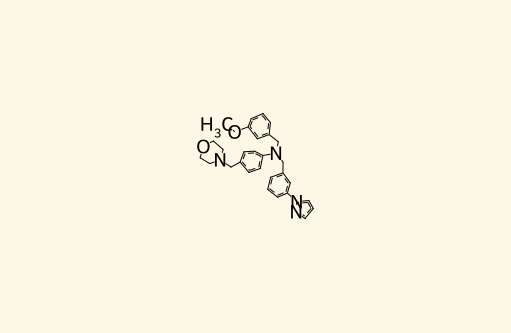 COc1cccc(CN(Cc2cccc(-n3cccn3)c2)c2ccc(CN3CCOCC3)cc2)c1